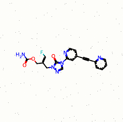 NC(=O)OCC(=CF)Cn1ncn(-c2cc(C#Cc3ccccn3)ccn2)c1=O